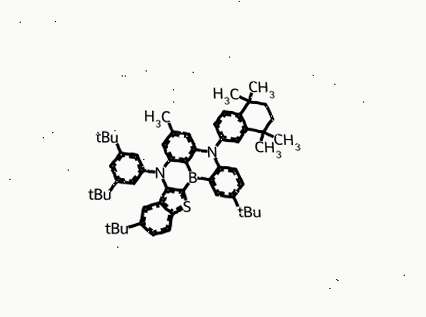 Cc1cc2c3c(c1)N(c1cc(C(C)(C)C)cc(C(C)(C)C)c1)c1c(sc4ccc(C(C)(C)C)cc14)B3c1cc(C(C)(C)C)ccc1N2c1ccc2c(c1)C(C)(C)CCC2(C)C